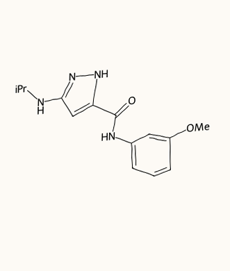 COc1cccc(NC(=O)c2cc(NC(C)C)n[nH]2)c1